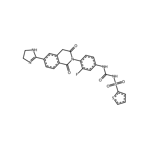 O=C(Nc1ccc(N2C(=O)Cc3cc(C4=NCCN4)ccc3C2=O)c(F)c1)NS(=O)(=O)c1cccs1